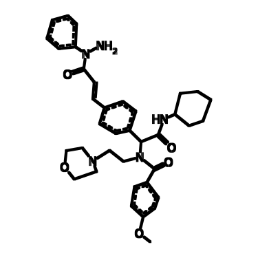 COc1ccc(C(=O)N(CCN2CCOCC2)C(C(=O)NC2CCCCC2)c2ccc(C=CC(=O)N(N)c3ccccc3)cc2)cc1